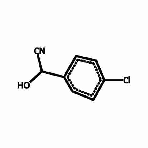 N#CC(O)c1ccc(Cl)cc1